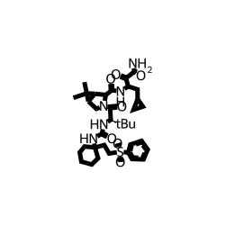 CC1(C)C2CN(C(=O)[C@@H](NC(=O)NC3(CCS(=O)(=O)c4ccccc4)CCCCC3)C(C)(C)C)C(C(=O)NC(CC3CC3)C(=O)C(N)=O)C21